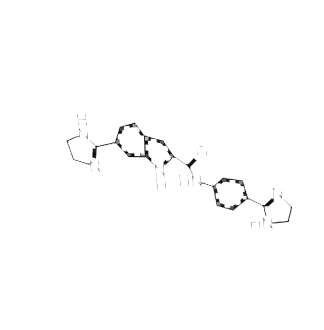 O=C(Nc1ccc(C2=NCCN2)cc1)c1cc2ccc(C3=NCCN3)cc2[nH]1